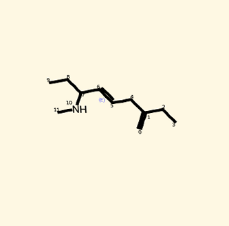 C=C(CC)C/C=C/C(CC)NC